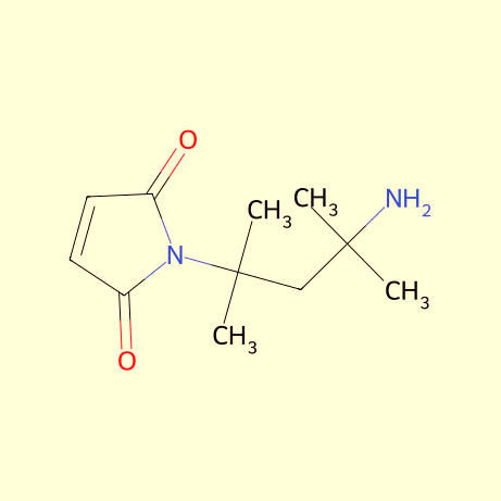 CC(C)(N)CC(C)(C)N1C(=O)C=CC1=O